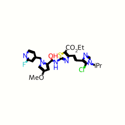 CCOC(=O)c1sc(NC(O)c2cc(OC)cn2Cc2ccnc(F)c2)nc1/C=C/c1ncn(C(C)C)c1Cl